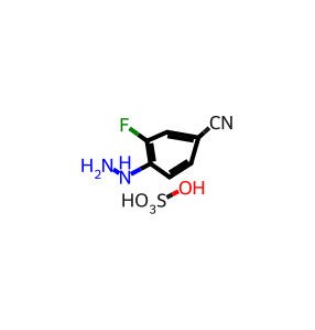 N#Cc1ccc(NN)c(F)c1.O=S(=O)(O)O